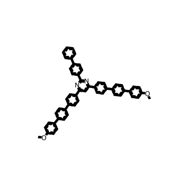 COc1ccc(-c2ccc(-c3ccc(-c4cc(-c5ccc(-c6ccc(-c7ccc(OC)cc7)cc6)cc5)nc(-c5ccc(-c6ccccc6)cc5)n4)cc3)cc2)cc1